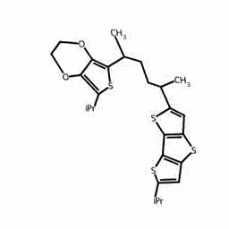 CC(C)c1cc2sc3cc(C(C)CCC(C)c4sc(C(C)C)c5c4OCCO5)sc3c2s1